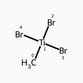 [CH3][Ti]([Br])([Br])[Br]